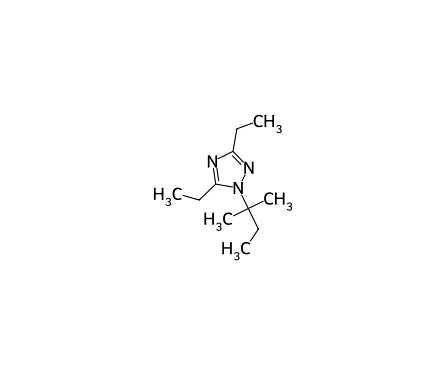 CCc1nc(CC)n(C(C)(C)CC)n1